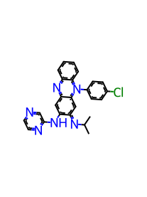 CC(C)/N=c1\cc2n(-c3ccc(Cl)cc3)c3ccccc3nc-2cc1Nc1cnccn1